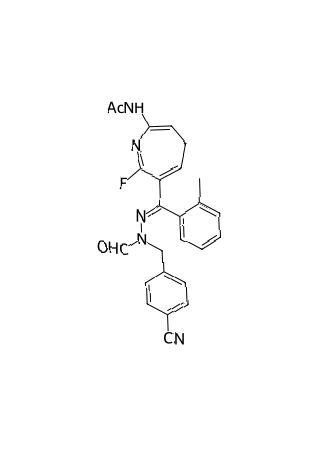 CC(=O)NC1=CCC=C(/C(=N/N(C=O)Cc2ccc(C#N)cc2)c2ccccc2C)C(F)=N1